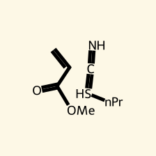 C=CC(=O)OC.CCC[SH]=C=N